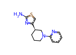 Nc1nc([C@@H]2CCCN(c3ccccn3)C2)cs1